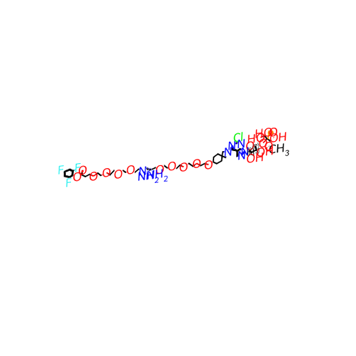 COCC(CO)(OC[C@H]1O[C@@H](n2ncc3c(N4CC5(CCC(OCCOCCOCCOCCOC/C(N)=C/N(N)CCOCCOCCOCCOCCC(=O)Oc6c(F)cc(F)cc6F)CC5)C4)nc(Cl)nc32)[C@H](O)[C@@H]1O)P(=O)(O)O